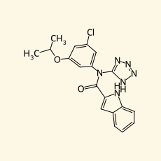 CC(C)Oc1cc(Cl)cc(N(C(=O)c2cc3ccccc3[nH]2)c2nnn[nH]2)c1